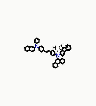 CC1(C)c2ccccc2-c2ccc(N(c3ccc(/C=C/c4ccc(N(c5ccccc5)c5ccc6ccccc6c5)cc4)cc3)c3cc4ccccc4c4ccccc34)cc21